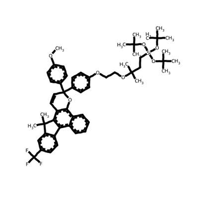 COc1ccc(C2(c3ccc(OCCOC(C)(C)CC[Si](OC(C)(C)C)(OC(C)(C)C)OC(C)(C)C)cc3)C=Cc3c4c(c5ccccc5c3O2)-c2ccc(C(F)(F)F)cc2C4(C)C)cc1